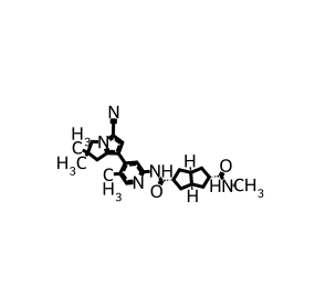 CNC(=O)[C@H]1C[C@@H]2C[C@@H](C(=O)Nc3cc(-c4cc(C#N)n5c4CC(C)(C)C5)c(C)cn3)C[C@@H]2C1